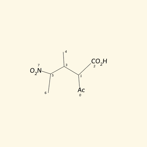 CC(=O)C(C(=O)O)C(C)C(C)[N+](=O)[O-]